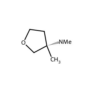 CN[C@@]1(C)CCOC1